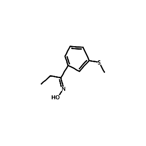 CCC(=NO)c1cccc(SC)c1